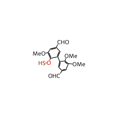 COc1cc(C=O)cc(-c2cc(C=O)cc(OC)c2OS)c1OC